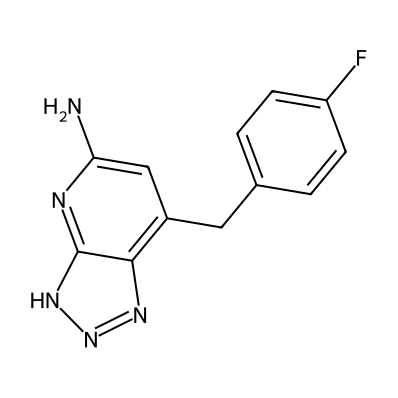 Nc1cc(Cc2ccc(F)cc2)c2nn[nH]c2n1